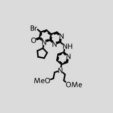 COCCN(CCOC)c1ccc(Nc2ncc3cc(Br)c(=O)n(C4CCCC4)c3n2)nc1